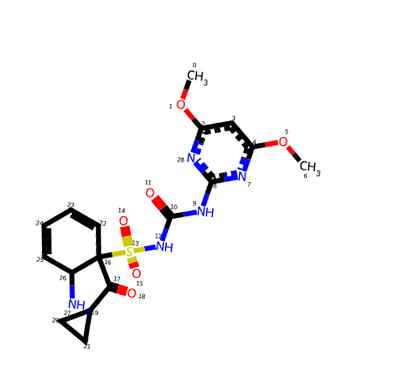 COc1cc(OC)nc(NC(=O)NS(=O)(=O)C2(C(=O)C3CC3)C=CC=CC2N)n1